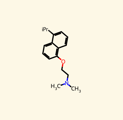 CC(C)c1cccc2c(OCCN(C)C)cccc12